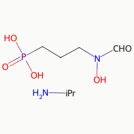 CC(C)N.O=CN(O)CCCP(=O)(O)O